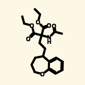 CCOC(=O)C(CCC1CCCOc2ccccc21)(NC(C)=O)C(=O)OCC